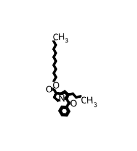 CCCCCCCCCCCCOC(=O)C1CCn2c1cc(CCCC)c2C(=O)c1ccccc1